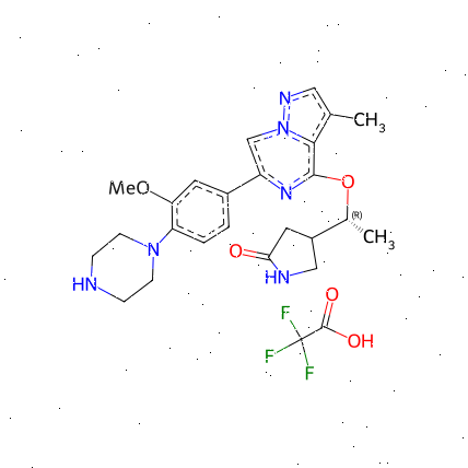 COc1cc(-c2cn3ncc(C)c3c(O[C@H](C)C3CNC(=O)C3)n2)ccc1N1CCNCC1.O=C(O)C(F)(F)F